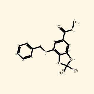 COC(=O)c1cc(OCc2ccccc2)c2c(c1)OC(C)(C)O2